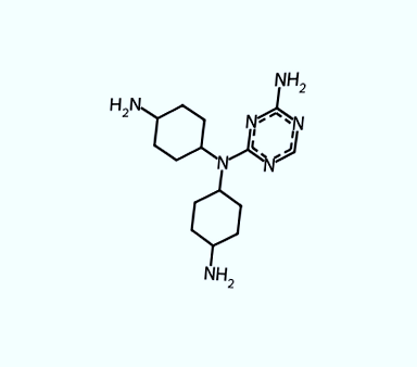 Nc1ncnc(N(C2CCC(N)CC2)C2CCC(N)CC2)n1